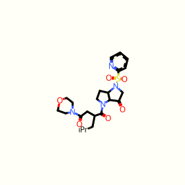 CC(C)CC(CC(=O)N1CCOCC1)C(=O)N1CCC2C1C(=O)CN2S(=O)(=O)c1ccccn1